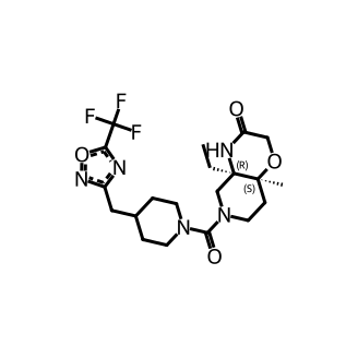 CC[C@@]12CN(C(=O)N3CCC(Cc4noc(C(F)(F)F)n4)CC3)CC[C@]1(C)OCC(=O)N2